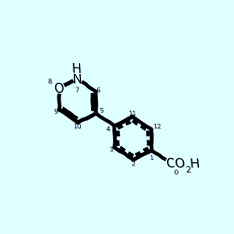 O=C(O)c1ccc(C2=CNOC=C2)cc1